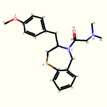 COc1ccc(CC2CSc3ccccc3CN2C(=O)CN(C)C)cc1